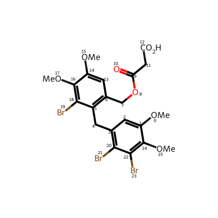 COc1cc(Cc2c(COC(=O)CC(=O)O)cc(OC)c(OC)c2Br)c(Br)c(Br)c1OC